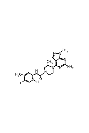 Cc1cc(NC(=O)N2CCN(c3nc(N)nc4c3cnn4C)[C@@H](C)C2)c(Cl)cc1F